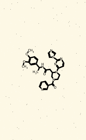 COc1ccc(C(C)NC(=O)CC2CN(C(=O)c3cccnc3)CCN2c2ccnc(-n3ccnc3)n2)cc1OC